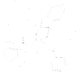 Cc1cccc2c1CC1C3CC(C(OC(=O)c4ccccc4)C3OC(=O)c3ccccc3)C21